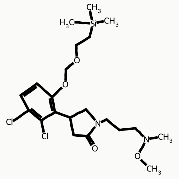 CON(C)CCCN1CC(c2c(OCOCC[Si](C)(C)C)ccc(Cl)c2Cl)CC1=O